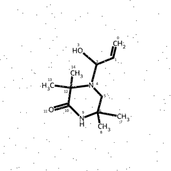 C=CC(O)N1CC(C)(C)NC(=O)C1(C)C